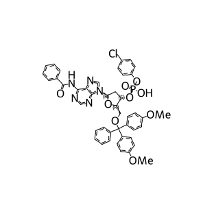 COc1ccc(C(OC[C@H]2O[C@@H](n3cnc4c(NC(=O)c5ccccc5)ncnc43)C[C@@H]2OP(=O)(O)Oc2ccc(Cl)cc2)(c2ccccc2)c2ccc(OC)cc2)cc1